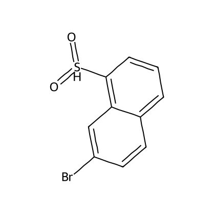 O=[SH](=O)c1cccc2ccc(Br)cc12